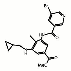 COC(=O)c1cc(NCC2CC2)c(C)c(NC(=O)c2cncc(Br)c2)c1